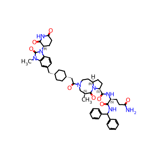 C[C@H]1CN(C(=O)C[C@H]2CC[C@@H](Cc3ccc4c(c3)n(C)c(=O)n4[C@@H]3CCC(=O)NC3=O)CC2)CC[C@H]2CC[C@@H](C(=O)N[C@@H](CCC(N)=O)C(=O)NC(c3ccccc3)c3ccccc3)N2C1=O